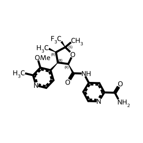 COc1c([C@H]2[C@@H](C)[C@@](C)(C(F)(F)F)O[C@H]2C(=O)Nc2ccnc(C(N)=O)c2)ccnc1C